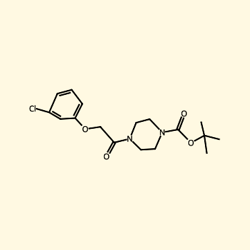 CC(C)(C)OC(=O)N1CCN(C(=O)COc2cccc(Cl)c2)CC1